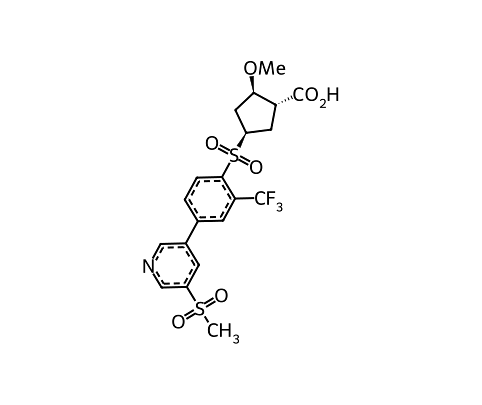 CO[C@@H]1C[C@H](S(=O)(=O)c2ccc(-c3cncc(S(C)(=O)=O)c3)cc2C(F)(F)F)C[C@H]1C(=O)O